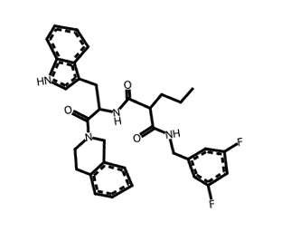 CCCC(C(=O)NCc1cc(F)cc(F)c1)C(=O)NC(Cc1c[nH]c2ccccc12)C(=O)N1CCc2ccccc2C1